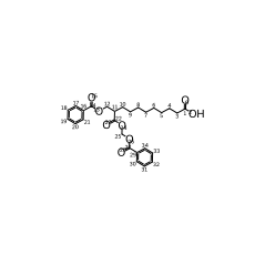 O=C(O)CCCCCCCCC(COC(=O)c1ccccc1)C(=O)OCOC(=O)c1ccccc1